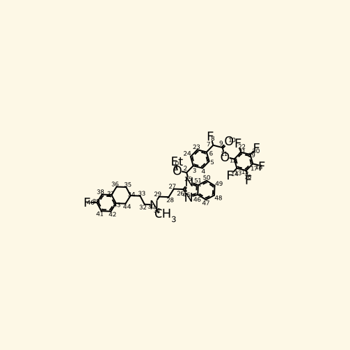 CCOC(c1ccc(C(F)C(=O)Oc2c(F)c(F)c(F)c(F)c2F)cc1)n1c(CCCN(C)CCC2CCc3cc(F)ccc3C2)nc2ccccc21